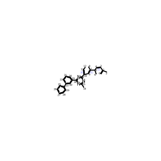 C=C(C)/C=C\C(C)/C(C)=C/C(=C\C)c1nc(C)nc(-c2cccc(-c3ccccc3)c2)n1